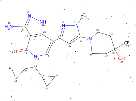 Cn1nc(-c2cn(C(C3CC3)C3CC3)c(=O)c3c(N)n[nH]c23)cc1N1CCC(O)(C(F)(F)F)CC1